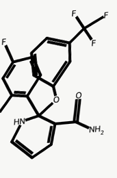 NC(=O)C1=CC=CNC1(Oc1cccc(C(F)(F)F)c1)c1ccc(F)cc1F